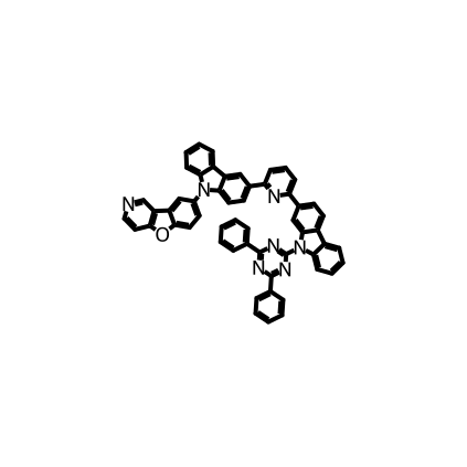 c1ccc(-c2nc(-c3ccccc3)nc(-n3c4ccccc4c4ccc(-c5cccc(-c6ccc7c(c6)c6ccccc6n7-c6ccc7oc8ccncc8c7c6)n5)cc43)n2)cc1